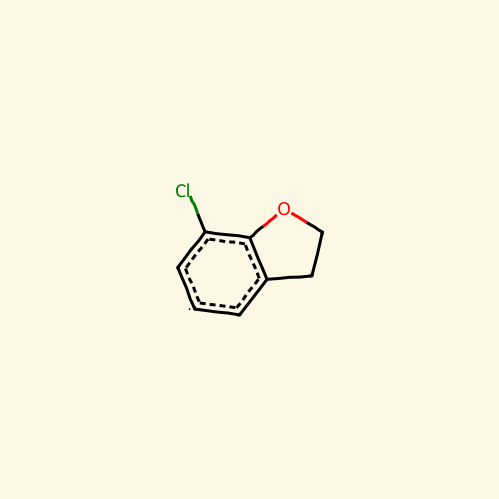 Clc1c[c]cc2c1OCC2